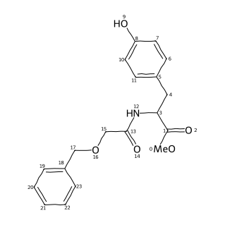 COC(=O)C(Cc1ccc(O)cc1)NC(=O)COCc1ccccc1